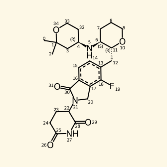 CC1(C)C[C@H](N[C@H]2CCCO[C@@H]2Cc2ccc3c(c2F)CN(C2CCC(=O)NC2=O)C3=O)CCO1